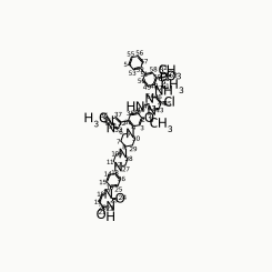 COc1cc(N2CCC(N3CCN(c4ccc(-n5ccc(=O)[nH]c5=O)cc4)CC3)CC2)c(-c2cnn(C)c2)cc1Nc1ncc(Cl)c(Nc2ccc(-c3ccccc3)cc2P(C)(C)=O)n1